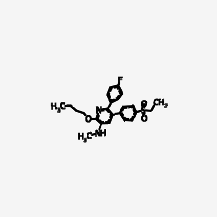 CCCCOc1nc(-c2ccc(F)cc2)c(-c2ccc(S(=O)(=O)CC)cc2)cc1NC